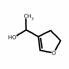 CC(O)C1=COCC1